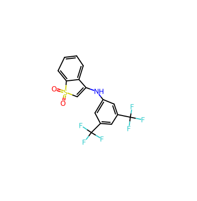 O=S1(=O)C=C(Nc2cc(C(F)(F)F)cc(C(F)(F)F)c2)c2ccccc21